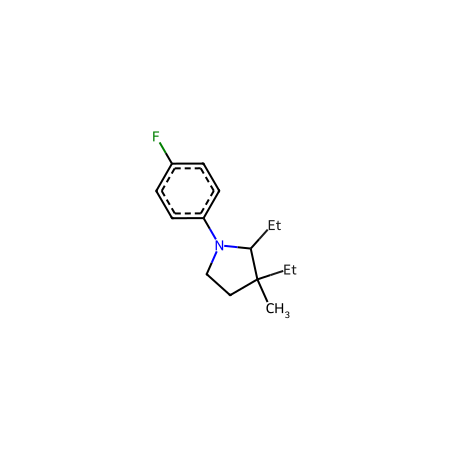 CCC1N(c2ccc(F)cc2)CCC1(C)CC